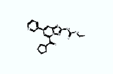 CCNC(=O)Nc1nc2cc(-c3cccnc3)cc(C(=O)C3CCCC3)n2n1